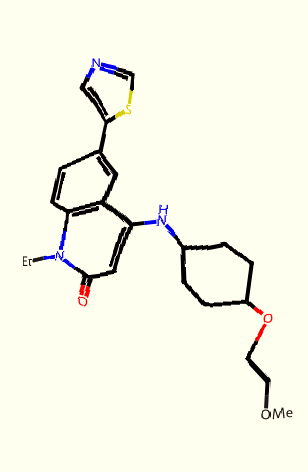 CCn1c(=O)cc(NC2CCC(OCCOC)CC2)c2cc(-c3cncs3)ccc21